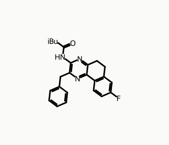 CCC(C)C(=O)Nc1nc2c(nc1Cc1ccccc1)-c1ccc(F)cc1CC2